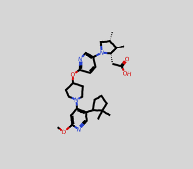 COc1cc(N2CCC(Oc3ccc(N4C[C@H](C)[C@@H](C)[C@@H]4CC(=O)O)cn3)CC2)c(C2CCCC2(C)C)cn1